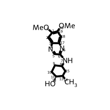 COc1cc2ncc(NC3CC[C@H](O)C(C)C3)nc2cc1OC